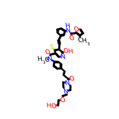 Cc1ccoc1C(=O)Nc1cccc(C#CC2C(=S)C(C(=O)N(C)c3ccc(CCC(=O)N4CCN(CCOCCO)CC4)cc3)=CN=C2O)c1